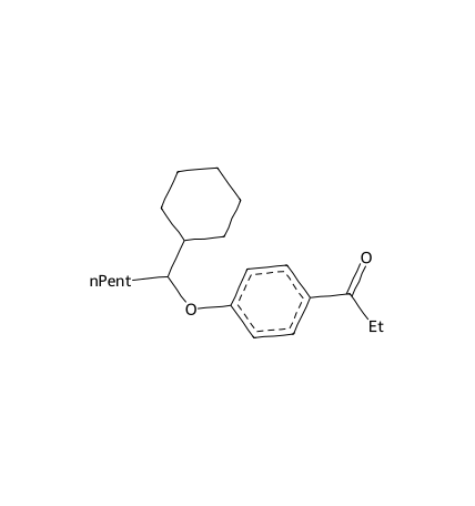 CCCCCC(Oc1ccc(C(=O)CC)cc1)C1CCCCC1